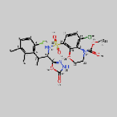 Cc1ccc(F)c(C(C)C(NS(=O)(=O)c2ccc(Cl)c3c2OCCN3C(=O)OC(C)(C)C)c2n[nH]c(=O)o2)c1C